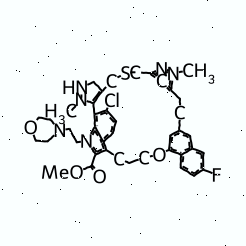 COC(=O)c1c2c3ccc(Cl)c(c3n1CCN1CCOCC1)C1=C(CNN1C)CSCc1cc(n(C)n1)CCc1cc(c3ccc(F)cc3c1)OCCC2